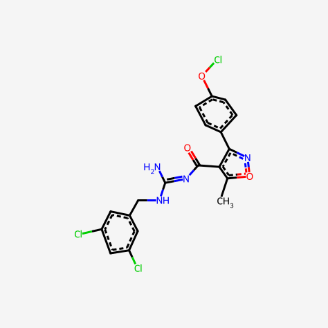 Cc1onc(-c2ccc(OCl)cc2)c1C(=O)/N=C(\N)NCc1cc(Cl)cc(Cl)c1